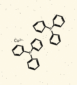 [Cu+2].c1ccc(P(c2ccccc2)c2ccccc2)cc1.c1ccc(P(c2ccccc2)c2ccccc2)cc1